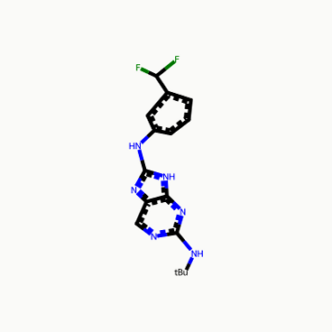 CC(C)(C)Nc1ncc2nc(Nc3cccc(C(F)F)c3)[nH]c2n1